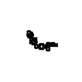 CC(C)(C)OC(=O)N1CCC(Oc2cnc(N3CCOCC3)nc2)CC1